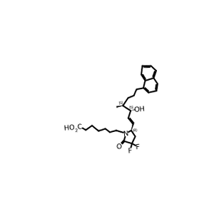 C[C@@H](CCCc1cccc2ccccc12)[C@H](O)C=C[C@H]1CC(F)(F)C(=O)N1CCCCCCC(=O)O